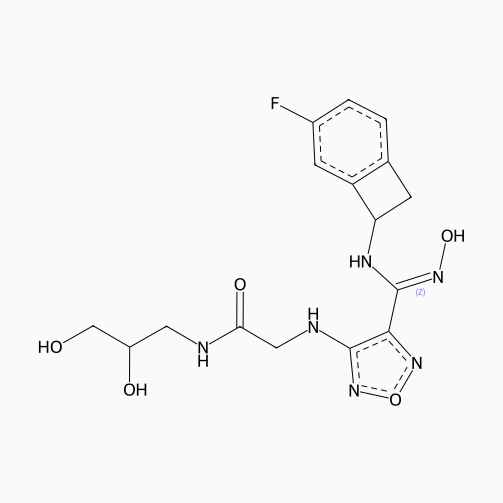 O=C(CNc1nonc1/C(=N/O)NC1Cc2ccc(F)cc21)NCC(O)CO